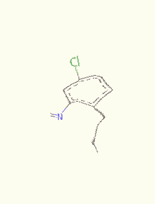 C=Nc1cc(Cl)ccc1CCC